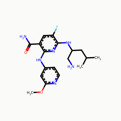 COc1cc(Nc2nc(NC(CN)CC(C)C)c(F)cc2C(N)=O)ccn1